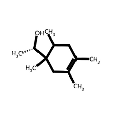 CC1=C(C)CC(C)([C@H](C)O)C(C)C1